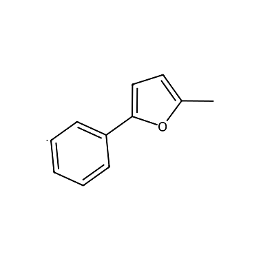 Cc1ccc(-c2c[c]ccc2)o1